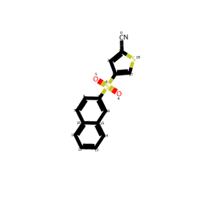 N#Cc1cc(S(=O)(=O)c2ccc3ccccc3c2)cs1